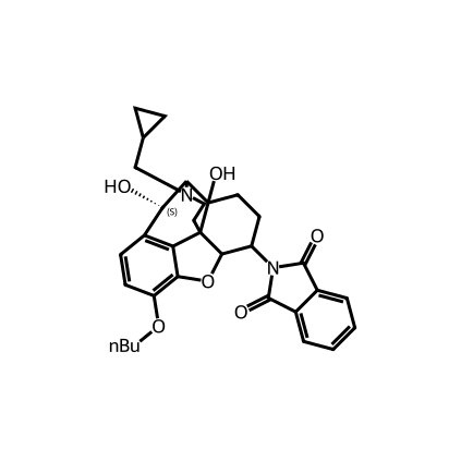 CCCCOc1ccc2c3c1OC1C(N4C(=O)c5ccccc5C4=O)CCC4(O)C([C@H]2O)N(CC2CC2)CCC314